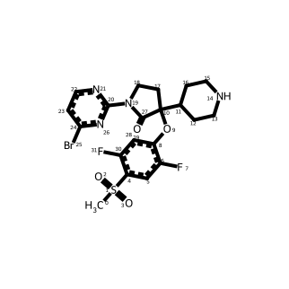 CS(=O)(=O)c1cc(F)c(OC2(C3CCNCC3)CCN(c3nccc(Br)n3)C2=O)cc1F